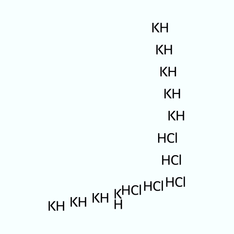 Cl.Cl.Cl.Cl.Cl.[KH].[KH].[KH].[KH].[KH].[KH].[KH].[KH].[KH]